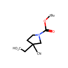 CC(C)(C)OC(=O)N1CCC(C#N)(CC(=O)O)C1